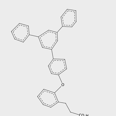 O=C(O)CCc1ccccc1Oc1ccc(-c2cc(-c3ccccc3)cc(-c3ccccc3)c2)cc1